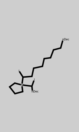 CCCCCCCCCCCCCCCCCC(I)[N+]1(C(I)CCCCCCCCCC)CCCC1